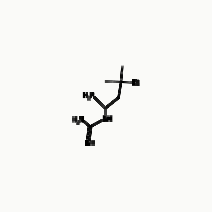 CCC(C)(C)CC(P)NC(=N)N